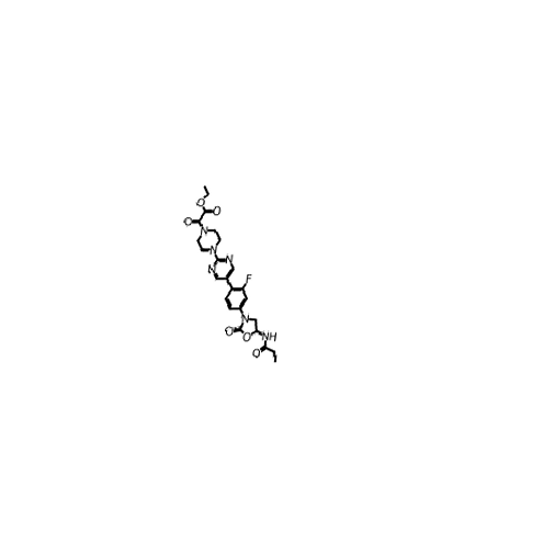 CCOC(=O)C(=O)N1CCN(c2ncc(-c3ccc(N4CC(NC(=O)CC)OC4=O)cc3F)cn2)CC1